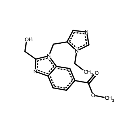 CCn1cncc1Cn1c(CO)nc2ccc(C(=O)OC)cc21